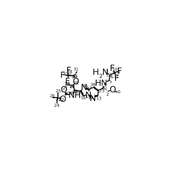 COC[C@@H](NC[C@H](N)C(F)(F)F)c1cnn2cc([C@@H](NC(=O)OC(C)(C)C)[C@@H](C)O[C@H](C)C(F)(F)F)nc2c1